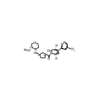 CO[C@@H]1COCC[C@@H]1N[C@@H]1CC[C@](O)(C(=O)N2C[C@@H]3C[C@H]2CN3c2cc(C(F)(F)F)cnn2)C1